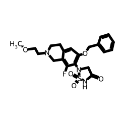 COCCN1CCc2cc(OCc3ccccc3)c(N3CC(=O)NS3(=O)=O)c(F)c2C1